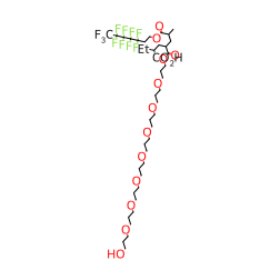 CCC(CC(CC(C)C(=O)OCCC(F)(F)C(F)(F)C(F)(F)C(F)(F)C(F)(F)F)C(=O)OCCCOCCCOCCCOCCCOCCCOCCCOCCCOCCCO)C(=O)O